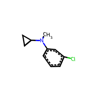 CN(c1cccc(Cl)c1)C1CC1